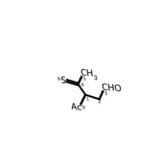 CC(=O)C(CC=O)C(C)=S